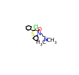 CN(C)CCCN1C(=O)C(Cl)=C(c2ccccc2)Sc2ccccc21